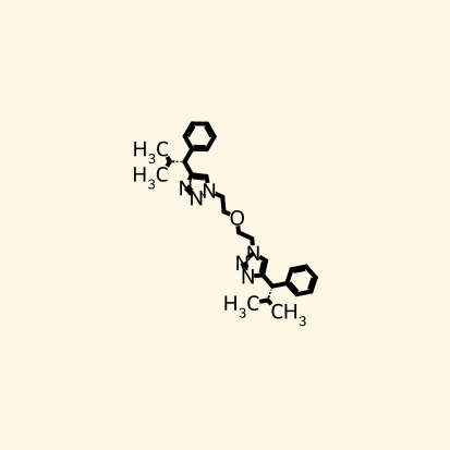 CC(C)[C@H](c1ccccc1)c1cn(CCOCCn2cc([C@H](c3ccccc3)C(C)C)nn2)nn1